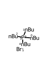 CCCC[P+](CCCC)(CCCC)CCCC.[Br-]